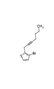 CCCCC#CCc1sccc1Br